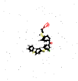 O=C(c1ccc(SCCO)cc1)c1ccc(Sc2ccc(Sc3ccccc3)cc2)c(F)c1